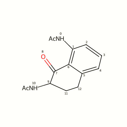 CC(=O)Nc1cccc2c1C(=O)C(NC(C)=O)CC2